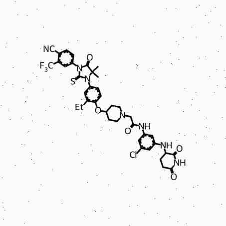 CCc1cc(N2C(=S)N(c3ccc(C#N)c(C(F)(F)F)c3)C(=O)C2(C)C)ccc1OC1CCN(CC(=O)Nc2cc(Cl)cc(NC3CCC(=O)NC3=O)c2)CC1